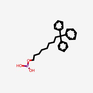 OP(O)OCCCCCCCCC(c1ccccc1)(c1ccccc1)c1ccccc1